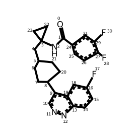 O=C(NC1(CC2CCC(c3cnnc4ccc(F)cc34)CC2)CC1)c1ccc(F)c(F)c1